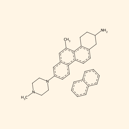 Cc1cc2cc(N3CCN(C)CC3)ccc2c2ccc3c(c12)CCC(N)C3.c1ccc2ccccc2c1